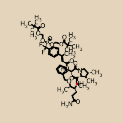 CCCC[C@H](NC(=O)/C=C(\C)c1ccc(C(F)(F)P(=O)(OCOC(=O)C(C)(C)C)OCOC(=O)C(C)(C)C)cc1)C(=O)N1C[C@H](C)C(C)[C@@H]1C(=O)N[C@@H](CCC(N)=O)[C@@H](C)OCc1ccccc1